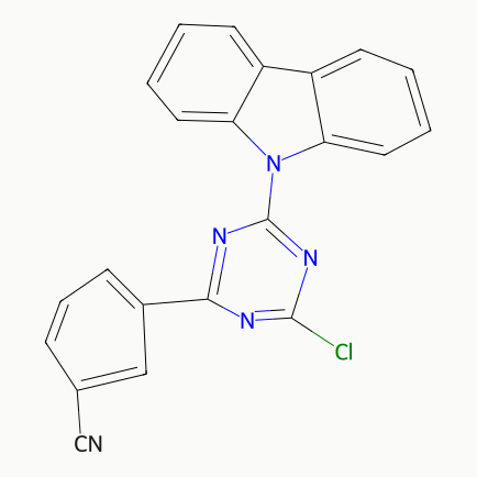 N#Cc1cccc(-c2nc(Cl)nc(-n3c4ccccc4c4ccccc43)n2)c1